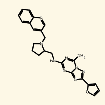 Nc1nc(NCC2CCCN2Cc2cnc3ccccc3c2)nc2nc(-c3ccco3)nn12